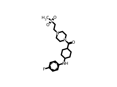 CS(=O)(=O)CCN1CCN(C(=O)C2CCC(Nc3ccc(F)cc3)CC2)CC1